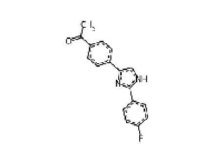 CC(=O)c1ccc(-c2c[nH]c(-c3ccc(F)cc3)n2)cc1